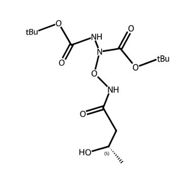 C[C@H](O)CC(=O)NON(NC(=O)OC(C)(C)C)C(=O)OC(C)(C)C